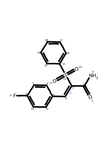 NC(=O)/C(=C/c1ccc(F)cc1)S(=O)(=O)c1ccccc1